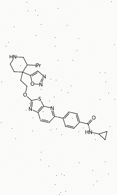 CC(C)C1CNCCC1(CCOc1nc2ccc(-c3ccc(C(=O)NC4CC4)cc3)nc2s1)c1cnno1